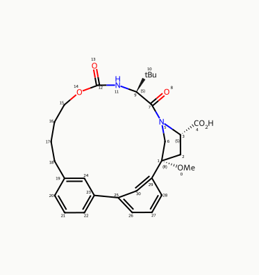 CO[C@@]12C[C@@H](C(=O)O)N(C1)C(=O)[C@H](C(C)(C)C)NC(=O)OCCCCc1cccc(c1)-c1cccc2c1